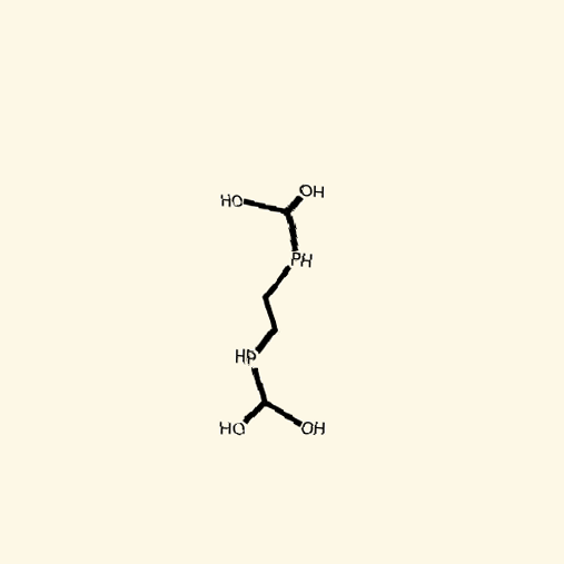 OC(O)PCCPC(O)O